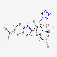 OC(Cn1cnnn1)(c1ccc(F)cc1F)C(F)(F)c1ccc2cc(C(F)F)ccc2n1